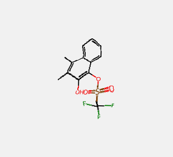 Cc1c(O)c(OS(=O)(=O)C(F)(F)F)c2ccccc2c1C